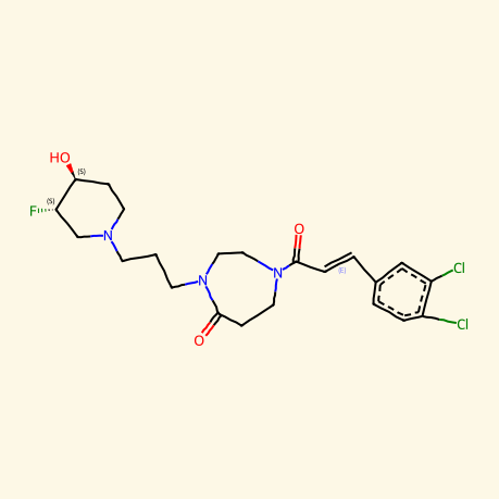 O=C(/C=C/c1ccc(Cl)c(Cl)c1)N1CCC(=O)N(CCCN2CC[C@H](O)[C@@H](F)C2)CC1